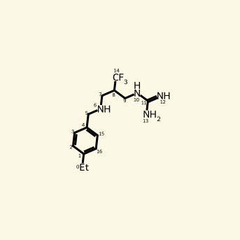 CCc1ccc(CNCC(CNC(=N)N)C(F)(F)F)cc1